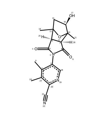 Cc1c(N2C(=O)[C@@H]3[C@H](C2=O)C2(C)OC3(C)C[C@H]2O)cnc(C#N)c1C